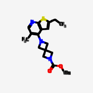 CC(C)(C)OC(=O)N1CC2(C1)CN(c1c(C(F)(F)F)cnc3sc(CC(F)(F)F)cc13)C2